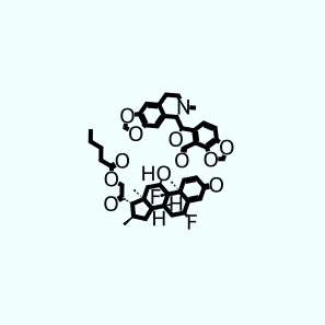 CCCCC(=O)OCC(=O)[C@H]1[C@H](C)C[C@H]2[C@@H]3C[C@H](F)C4=CC(=O)C=C[C@]4(C)[C@@]3(F)[C@@H](O)C[C@@]21C.CN1CCc2cc3c(cc2[C@H]1[C@@H]1OC(=O)c2c1ccc1c2OCO1)OCO3